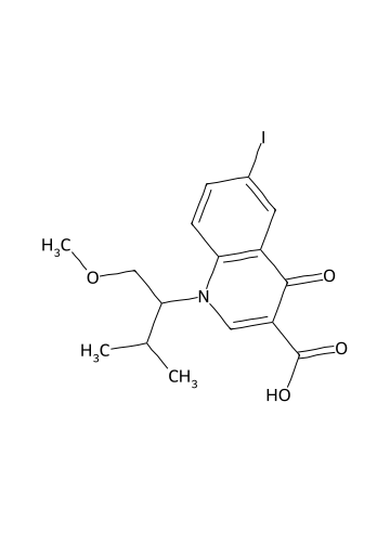 COCC(C(C)C)n1cc(C(=O)O)c(=O)c2cc(I)ccc21